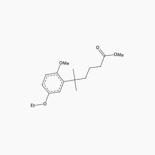 CCOc1ccc(OC)c(C(C)(C)CCCC(=O)OC)c1